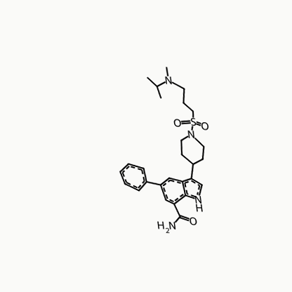 CC(C)N(C)CCCS(=O)(=O)N1CCC(c2c[nH]c3c(C(N)=O)cc(-c4ccccc4)cc23)CC1